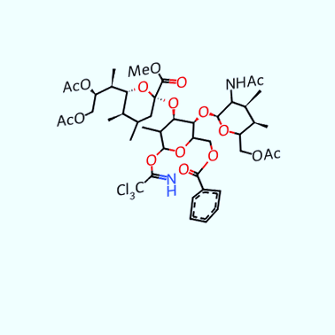 COC(=O)[C@@]1(O[C@@H]2C(C)C(OC(=N)C(Cl)(Cl)Cl)OC(COC(=O)c3ccccc3)[C@@H]2O[C@@H]2OC(COC(C)=O)[C@H](C)[C@H](C)C2NC(C)=O)CC(C)[C@@H](C)[C@H]([C@H](C)[C@@H](COC(C)=O)OC(C)=O)O1